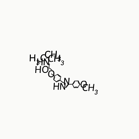 COc1ccc(-c2c[nH]c(-c3ccc(OCC(O)CNC(C)(C)C)cc3)n2)cc1